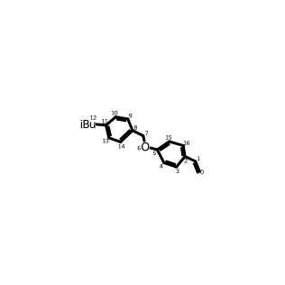 C=Cc1ccc(OCc2ccc(C(C)CC)cc2)cc1